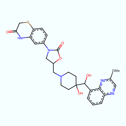 COc1cnc2cccc(C(O)C3(O)CCN(CC4CN(c5ccc6c(c5)NC(=O)CS6)C(=O)O4)CC3)c2n1